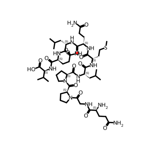 CSCC[C@H](NC(=O)[C@H](CC(C)C)NC(=O)[C@@H]1CCCN1C(=O)[C@@H]1CCCN1C(=O)CNC(=O)[C@@H](N)CCC(N)=O)C(=O)N[C@@H](CCC(N)=O)C(=O)N[C@@H](CC(C)C)C(=O)N[C@@H](CCC(N)=O)C(=O)N[C@H](C(=O)O)C(C)C